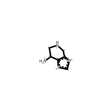 NC1CNCc2ncsc21